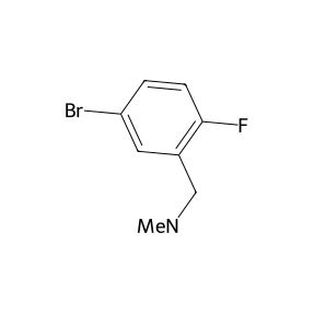 CNCc1cc(Br)ccc1F